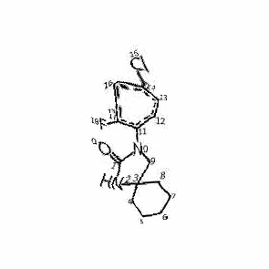 O=C1NC2(CCCCC2)CN1c1ccc(Cl)cc1F